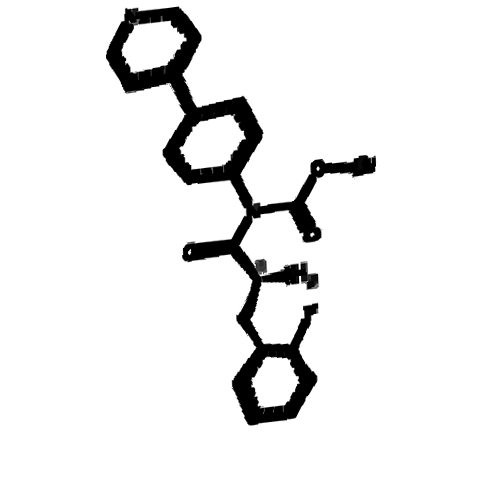 CC(C)(C)OC(=O)N(C(=O)[C@H](N)Cc1ccccc1F)c1ccc(-c2ccncc2)cc1